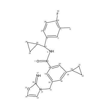 Cc1cc(C(NC(=O)c2cc(Cn3ccoc3=N)cc(C3CC3)c2)C2CC2)ccc1F